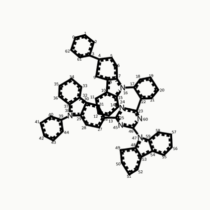 c1ccc(-c2ccc3c(c2)c2ccccc2n3-c2ccccc2-c2nc(-c3ccc4c(c3)c3ccccc3n4-c3ccccc3)nc(-n3c4ccccc4c4ccccc43)n2)cc1